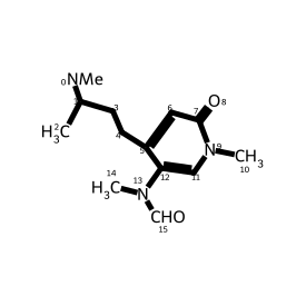 CNC(C)CCc1cc(=O)n(C)cc1N(C)C=O